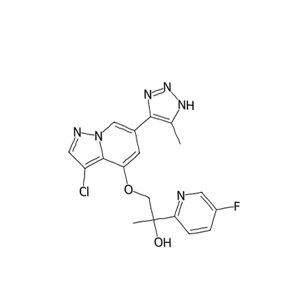 Cc1[nH]nnc1-c1cc(OCC(C)(O)c2ccc(F)cn2)c2c(Cl)cnn2c1